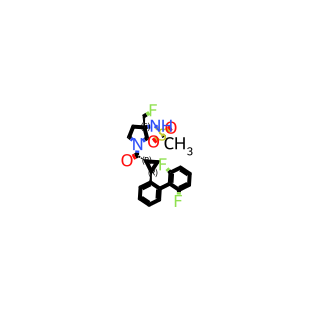 CS(=O)(=O)N[C@@]1(CF)CCN(C(=O)[C@@H]2C[C@H]2c2ccccc2-c2c(F)cccc2F)C1